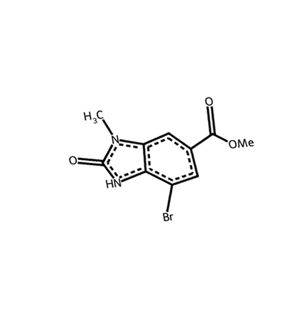 COC(=O)c1cc(Br)c2[nH]c(=O)n(C)c2c1